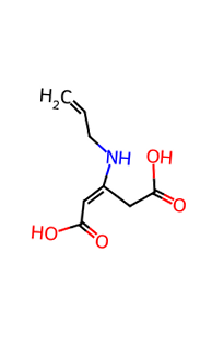 C=CCNC(=CC(=O)O)CC(=O)O